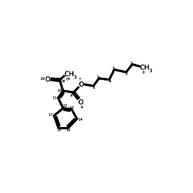 CCCCCCCOC(=O)C(=Cc1ccccc1)C(C)=O